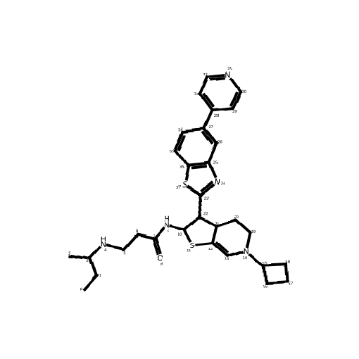 CCC(C)NCCC(=O)NC1SC2=CN(C3CCC3)CCC2C1c1nc2cc(-c3ccncc3)ccc2s1